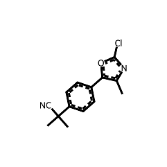 Cc1nc(Cl)oc1-c1ccc(C(C)(C)C#N)cc1